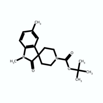 Cc1ccc2c(c1)C1(CCN(C(=O)OC(C)(C)C)CC1)C(=O)N2C